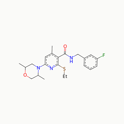 CCSc1nc(N2CC(C)OCC2C)cc(C)c1C(=O)NCc1cccc(F)c1